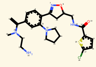 C=C(c1ccc(C2=NOC(CNC(=O)c3ccc(Cl)s3)C2)c(N2CCCC2)c1)N(C)CCN